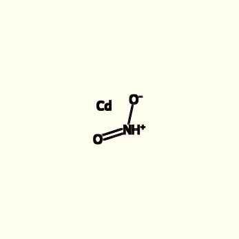 O=[NH+][O-].[Cd]